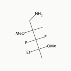 CCC(C)(OC)C(F)(F)C(C)(CN)OC